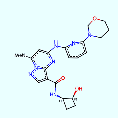 CNc1cc(Nc2cccc(N3CCCOC3)n2)nc2c(C(=O)N[C@@H]3CC[C@@H]3O)cnn12